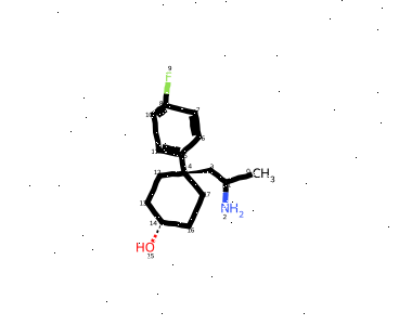 CC(N)C[C@]1(c2ccc(F)cc2)CC[C@@H](O)CC1